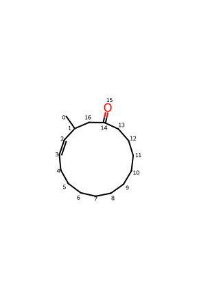 CC1/C=C\CCCCCCCCCCC(=O)C1